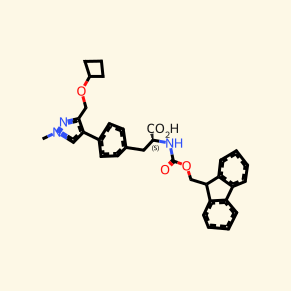 Cn1cc(-c2ccc(C[C@H](NC(=O)OCC3c4ccccc4-c4ccccc43)C(=O)O)cc2)c(COC2CCC2)n1